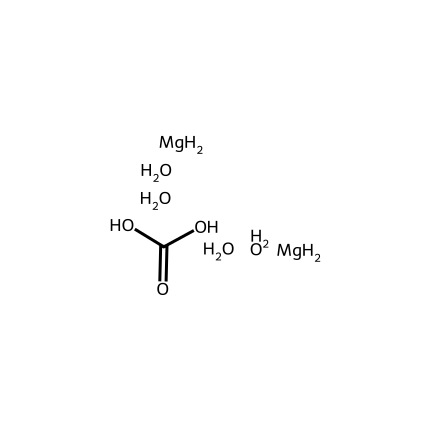 O.O.O.O.O=C(O)O.[MgH2].[MgH2]